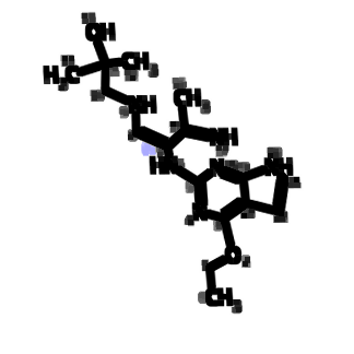 CCOc1nc(N/C(=C/NCC(C)(C)O)C(C)=N)nc2[nH]ccc12